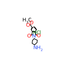 COC(=O)c1ccc2c(c1)C(=O)N([C@H]1CC[C@H](N)CC1)C2=O.Cl